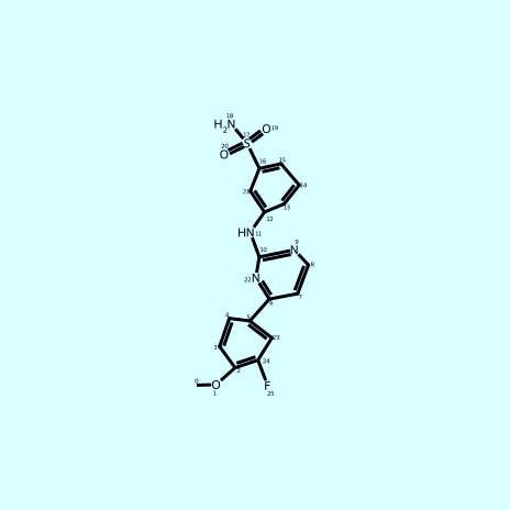 COc1ccc(-c2ccnc(Nc3cccc(S(N)(=O)=O)c3)n2)cc1F